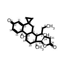 CCC(C)C1C2CC3(CC3)C3=CC(=O)C=C[C@]3(C)C2CC[C@]1(C)[C@H]1CCC(=O)O1